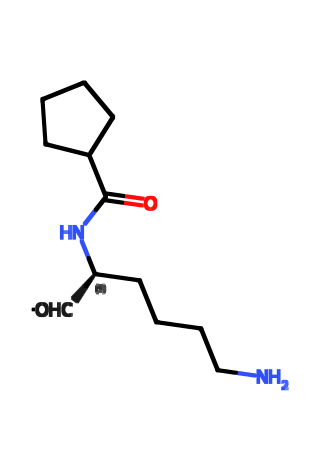 NCCCC[C@@H]([C]=O)NC(=O)C1CCCC1